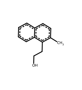 Cc1ccc2ccccc2c1CCO